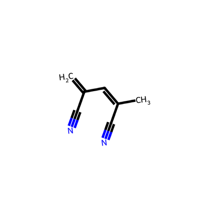 C=C(C#N)/C=C(/C)C#N